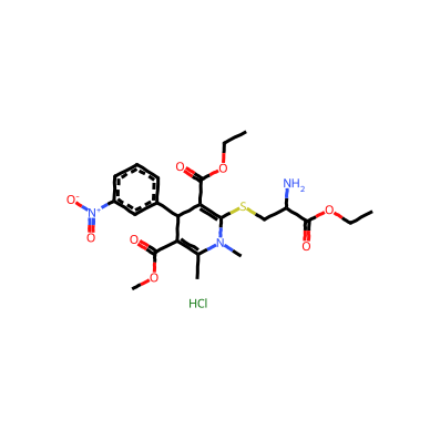 CCOC(=O)C1=C(SCC(N)C(=O)OCC)N(C)C(C)=C(C(=O)OC)C1c1cccc([N+](=O)[O-])c1.Cl